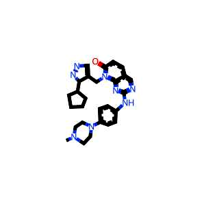 CN1CCN(c2ccc(Nc3ncc4ccc(=O)n(CC5=CN=NC5C5CCCC5)c4n3)cc2)CC1